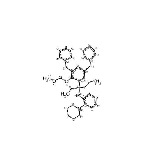 CCCC(CC)(Pc1ccccc1N1CCCCC1)c1cc(Cc2ccccc2)cc(Cc2ccccc2)c1OCOC